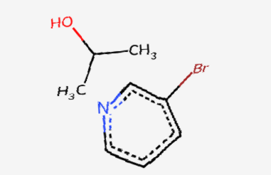 Brc1cccnc1.CC(C)O